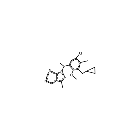 COc1c(C(C)n2nc(C)c3cncnc32)cc(Cl)c(C)c1CC1CC1